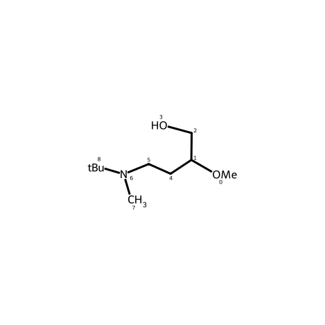 COC(CO)CCN(C)C(C)(C)C